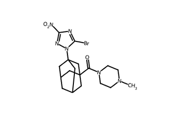 CN1CCN(C(=O)C23CC4CC(C2)CC(n2nc([N+](=O)[O-])nc2Br)(C4)C3)CC1